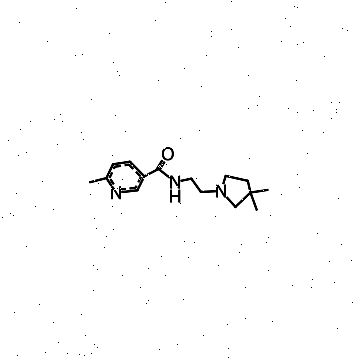 Cc1ccc(C(=O)NCCN2CCC(C)(C)C2)cn1